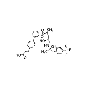 CN(C[C@H](O)CNC(C)(C)Cc1ccc(C(F)(F)F)cc1)S(=O)(=O)c1cccc(-c2ccc(CCC(=O)O)cc2)c1